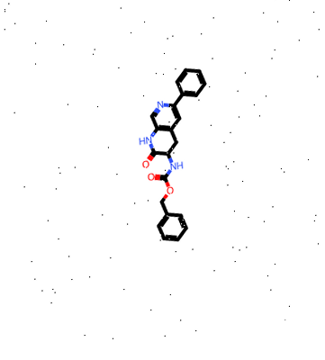 O=C(NC1Cc2cc(-c3ccccc3)ncc2NC1=O)OCc1ccccc1